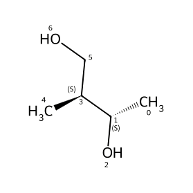 C[C@H](O)[C@@H](C)CO